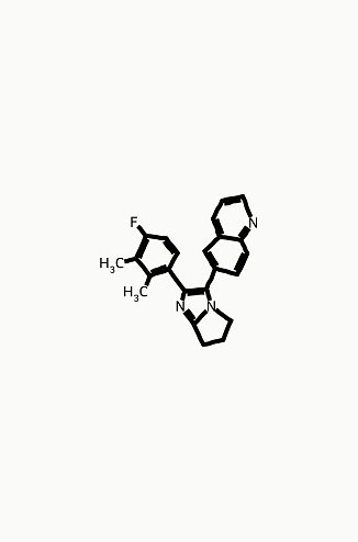 Cc1c(F)ccc(-c2nc3n(c2-c2ccc4ncccc4c2)CCC3)c1C